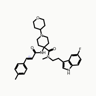 Cc1ccc(/C=C/C(=O)NC2(C(=O)N(C)CCc3c[nH]c4ccc(F)cc34)CCN(C3CCOCC3)CC2)cc1